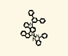 c1ccc(-c2cc(-c3ccccc3)cc(-n3c4ccccc4c4c5c6c7ccccc7ccc6n(-c6nc(-c7ccccc7)c7ccccc7n6)c5ccc43)c2)cc1